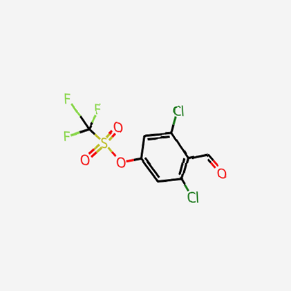 O=Cc1c(Cl)cc(OS(=O)(=O)C(F)(F)F)cc1Cl